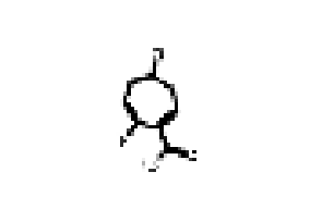 O=C(O)C1=CCC(Cl)CC=C1F